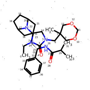 CCN1C(=O)N(CC2(C)COCOC2)CC12CC1CCC(C2)N1CC[C@H](NC(=O)C(C)C)c1ccccc1